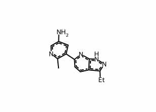 CCc1n[nH]c2nc(-c3cc(N)cnc3C)ccc12